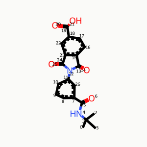 CC(C)(C)NC(=O)c1cccc(N2C(=O)c3ccc(C(=O)O)cc3C2=O)c1